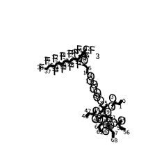 C=CC(=O)OCC(COOOOOOOCCCOC(F)(/C(F)=C(F)/C(F)=C(F)/C(F)=C(F)/C(F)=C(\F)CF)C(F)(F)C(F)(F)F)(COC(=O)C=C)OC(COC(=O)C=C)(COC(=O)C=C)COC(=O)C=C